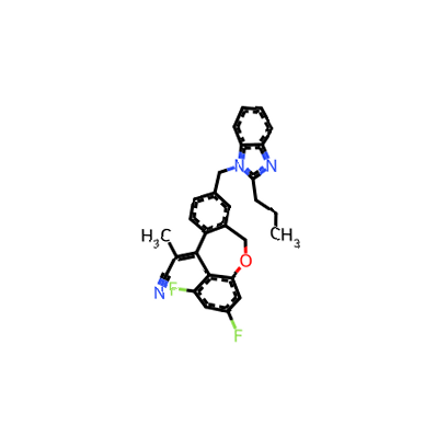 CCCc1nc2ccccc2n1Cc1ccc2c(c1)COc1cc(F)cc(F)c1C2=C(C)C#N